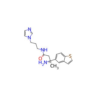 C[C@](N)(CC(=O)NCCCn1ccnc1)c1ccc2sccc2c1